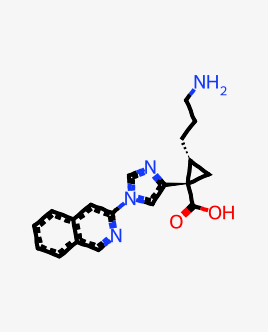 NCCC[C@@H]1C[C@@]1(C(=O)O)c1cn(-c2cc3ccccc3cn2)cn1